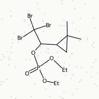 CCOP(=O)(OCC)OC(C1CC1(C)C)C(Br)(Br)Br